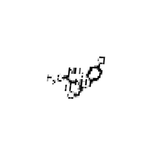 C[C@@H](N)C(=O)N[C@@H]([C]=O)Cc1ccc(Cl)cc1